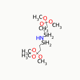 COC(CC[SiH2]N[SiH2]CCC(OC)(OC)OC)(OC)OC